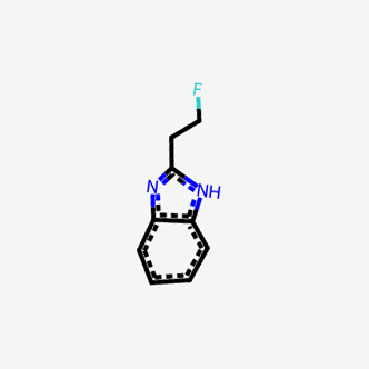 FCCc1nc2ccccc2[nH]1